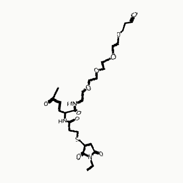 CCN1C(=O)CC(SCCC(=O)NC(CCC(C)=O)C(=O)NCCOCCOCCOCCOCCC=O)C1=O